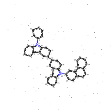 c1ccc(-n2c3ccccc3c3cc(-c4ccc5c(c4)c4ccccc4n5-c4ccc5ccc6ccccc6c5c4)ccc32)cc1